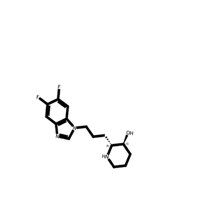 O[C@H]1CCCN[C@@H]1CCCn1cnc2cc(F)c(F)cc21